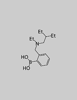 CCC(CC)CN(CC)Cc1ccccc1B(O)O